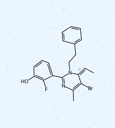 C/C=C1\C(Br)=C(C)N=C(c2cccc(O)c2F)N1CCc1ccccc1